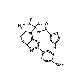 CC[C@@](NC(=O)c1c[nH]cn1)(c1cccc2nc(-c3ccc(SC)cc3)oc12)[C@H](C)O